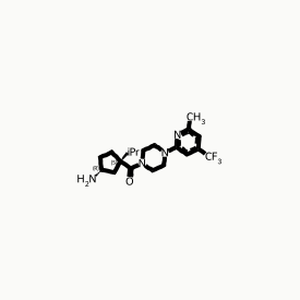 Cc1cc(C(F)(F)F)cc(N2CCN(C(=O)[C@@]3(C(C)C)CC[C@@H](N)C3)CC2)n1